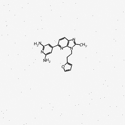 Cc1nc2ccc(-c3cc(N)nc(N)c3)nc2n1CCc1ccco1